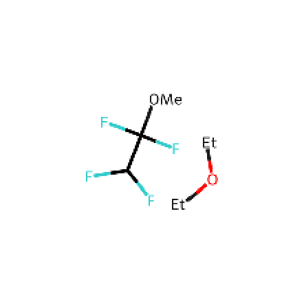 CCOCC.COC(F)(F)C(F)F